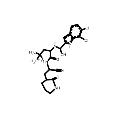 CC(C)(C)CC(NC(O)c1cc2ccc(Cl)c(Cl)c2[nH]1)C(=O)NC(C#N)CC1CCCNC1=O